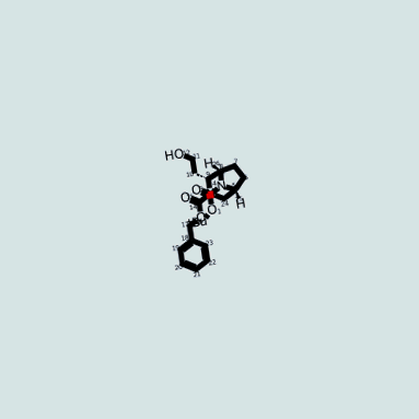 CC(C)(C)OC(=O)N1[C@@H]2CC[C@H]1[C@@H](CCO)N(C(=O)OCc1ccccc1)C2